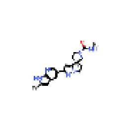 CCNC(=O)N1CC[C@]2(CCn3nc(-c4cnc5[nH]c(CC)cc5c4)cc32)C1